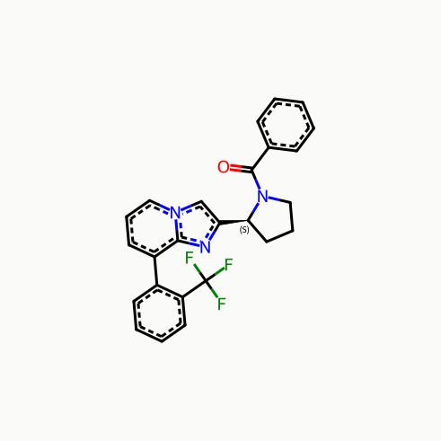 O=C(c1ccccc1)N1CCC[C@H]1c1cn2cccc(-c3ccccc3C(F)(F)F)c2n1